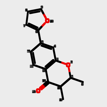 CC1Oc2cc(-c3ccco3)ccc2C(=O)C1C